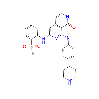 CC(C)S(=O)(=O)c1ccccc1Nc1cc2c(c(Nc3ccc(C4CCNCC4)cc3)n1)C(=O)[N]C=C2